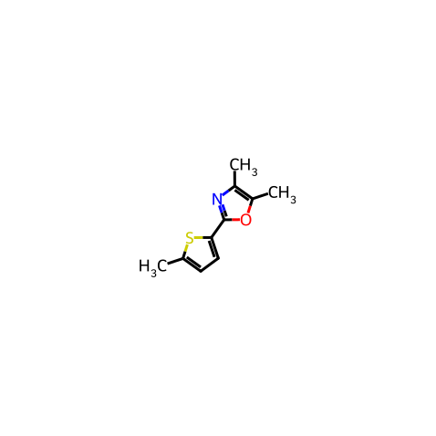 Cc1ccc(-c2nc(C)c(C)o2)s1